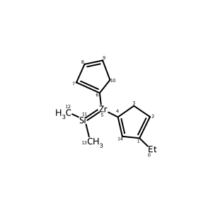 CCC1=CC[C]([Zr]([C]2=CC=CC2)=[Si](C)C)=C1